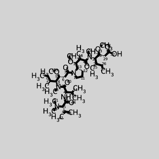 CC[C@H](C)[C@@H]([C@@H](CC(=O)N1CCC[C@H]1[C@H](OC)[C@@H](C)C(=O)N(C)[C@@H]([C@@H](C)CC)[C@@H](CC(=O)O)OC)OC)N(C)C(=O)[C@@H](NC(=O)[C@H](C(C)C)N(C)C)C(C)C